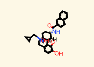 O=C(N[C@@H]1CC[C@@]2(O)C3Cc4ccc(O)c5c4[C@@]2(CCN3CC2CC2)[C@H]1O5)c1ccc2ccccc2c1